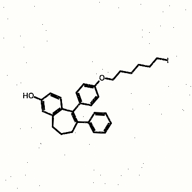 Oc1ccc2c(c1)CCCC(c1ccccc1)=C2c1ccc(OCCCCCCI)cc1